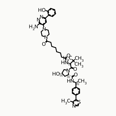 Cc1ncsc1-c1ccc([C@H](C)NC(=O)[C@@H]2C[C@H](O)CN2C(=O)[C@@H](NC(=O)CCCCCCC(=O)N2CCN(c3cc(-c4ccccc4O)nnc3N)CC2)C(C)(C)C)cc1